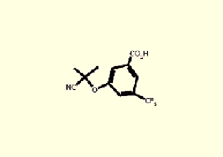 CC(C)(C#N)Oc1cc(C(=O)O)cc(C(F)(F)F)c1